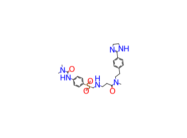 CN(C)C(=O)Nc1ccc(S(=O)(=O)CNCCC(=O)N(C)CCc2ccc(C3=NCCN3)cc2)cc1